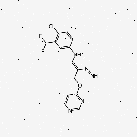 N=N/C(=C\Nc1ccc(Cl)c(C(F)F)c1)COc1ccncn1